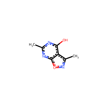 Cc1nc(O)c2c(C)noc2n1